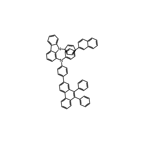 c1ccc(-c2c(-c3ccccc3)c3cc(-c4ccc(N(c5ccc(-c6ccc7ccccc7c6)cc5)c5cccc6c7ccccc7n(-c7ccccc7)c56)cc4)ccc3c3ccccc23)cc1